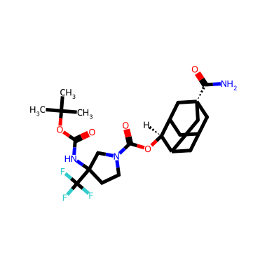 CC(C)(C)OC(=O)NC1(C(F)(F)F)CCN(C(=O)O[C@H]2C3CC4CC2C[C@](C(N)=O)(C4)C3)C1